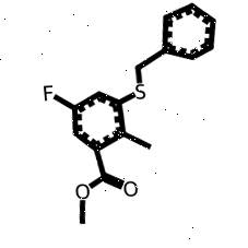 COC(=O)c1cc(F)cc(SCc2ccccc2)c1C